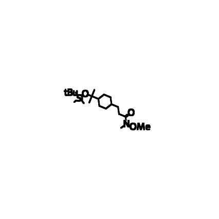 CON(C)C(=O)CCC1CCC(C(C)(C)O[Si](C)(C)C(C)(C)C)CC1